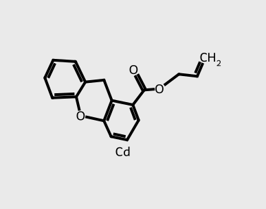 C=CCOC(=O)c1cccc2c1Cc1ccccc1O2.[Cd]